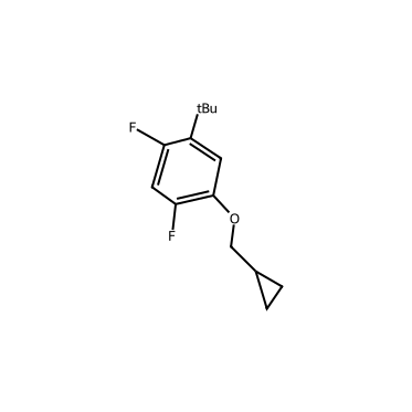 CC(C)(C)c1cc(OCC2CC2)c(F)cc1F